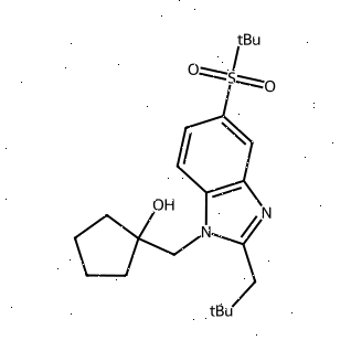 CC(C)(C)Cc1nc2cc(S(=O)(=O)C(C)(C)C)ccc2n1CC1(O)CCCC1